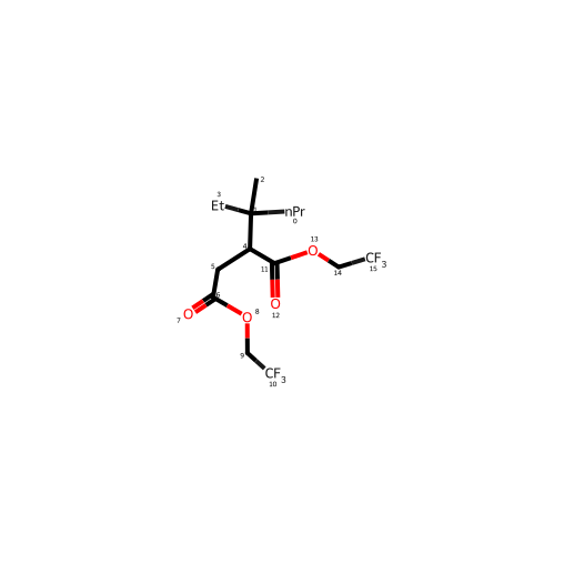 CCCC(C)(CC)C(CC(=O)OCC(F)(F)F)C(=O)OCC(F)(F)F